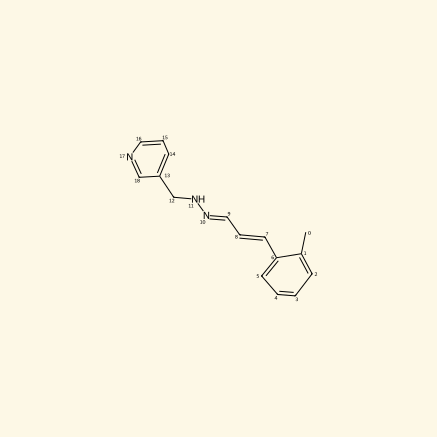 Cc1ccccc1C=CC=NNCc1cccnc1